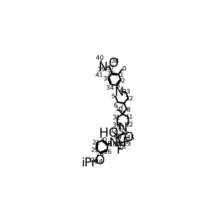 Cc1cc(N2CCC(CC3(C)CCN(C(=O)[C@@]4(O)N(c5cccc(OC(C)C)c5)C4(F)F)CC3)CC2)ccc1C(=O)N(C)C